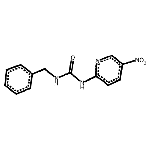 O=C(NCc1ccccc1)Nc1ccc([N+](=O)[O-])cn1